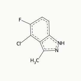 Cc1n[nH]c2ccc(F)c(Cl)c12